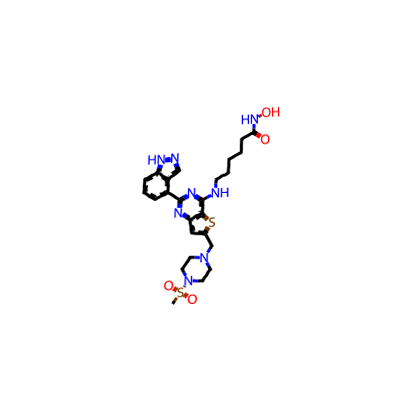 CS(=O)(=O)N1CCN(Cc2cc3nc(-c4cccc5[nH]ncc45)nc(NCCCCCC(=O)NO)c3s2)CC1